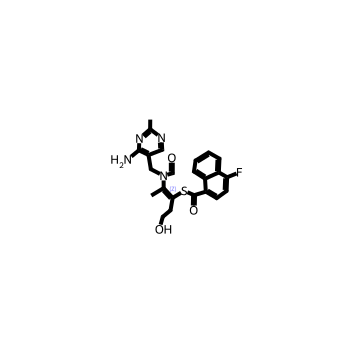 C/C(=C(\CCO)SC(=O)c1ccc(F)c2ccccc12)N(C=O)Cc1cnc(C)nc1N